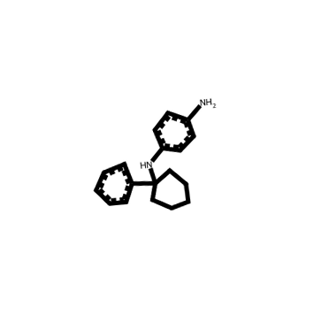 Nc1ccc(NC2(c3ccccc3)CCCCC2)cc1